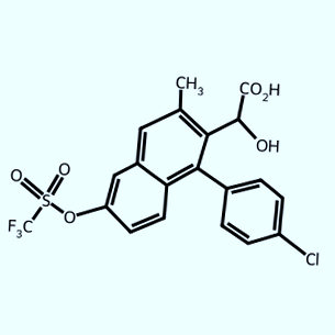 Cc1cc2cc(OS(=O)(=O)C(F)(F)F)ccc2c(-c2ccc(Cl)cc2)c1C(O)C(=O)O